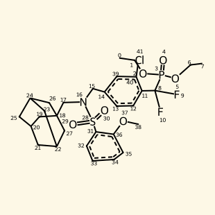 CCOP(=O)(OCC)C(F)(F)c1ccc(CN(CC23CC4CC(CC(C4)C2)C3)S(=O)(=O)c2ccccc2OC)cc1Cl